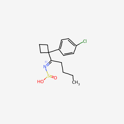 CCCC/C(=N\S(=O)O)C1(c2ccc(Cl)cc2)CCC1